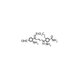 CCOC(=O)CCc1cc(C(N)=O)cc(N)c1NC/C=C/CNc1ccc(C=O)cc1N